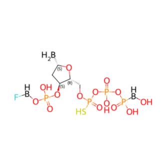 B[C@H]1C[C@H](OP(=O)(O)OBF)[C@@H](COP(=O)(S)OP(=O)(O)OP(=O)(O)BO)O1